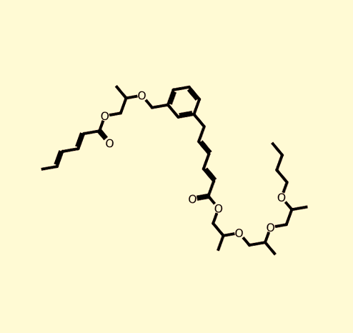 C/C=C/C=C/C(=O)OCC(C)OCc1cccc(C/C=C/C=C/C(=O)OCC(C)OCC(C)OCC(C)OCCCC)c1